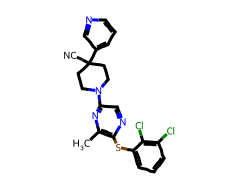 Cc1nc(N2CCC(C#N)(c3cccnc3)CC2)cnc1Sc1cccc(Cl)c1Cl